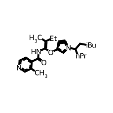 CCCC(CC(C)CC)n1c#cc(O/C(NC(=O)c2ccncc2C)=C(/C)CC)c1